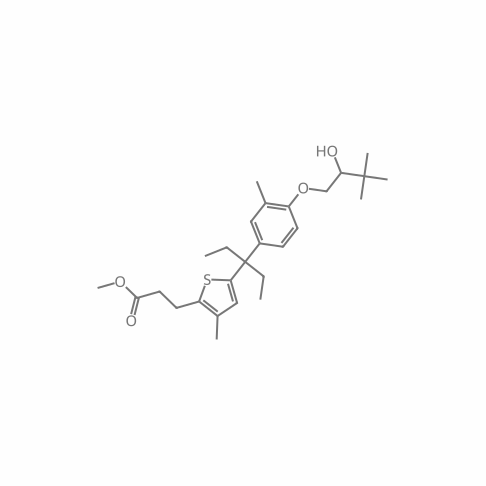 CCC(CC)(c1ccc(OCC(O)C(C)(C)C)c(C)c1)c1cc(C)c(CCC(=O)OC)s1